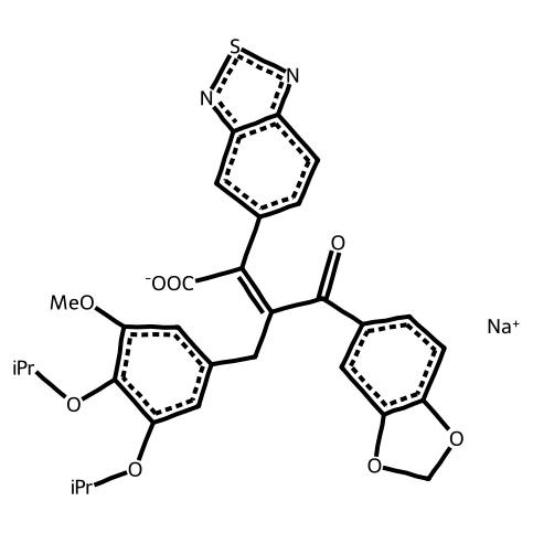 COc1cc(CC(C(=O)c2ccc3c(c2)OCO3)=C(C(=O)[O-])c2ccc3nsnc3c2)cc(OC(C)C)c1OC(C)C.[Na+]